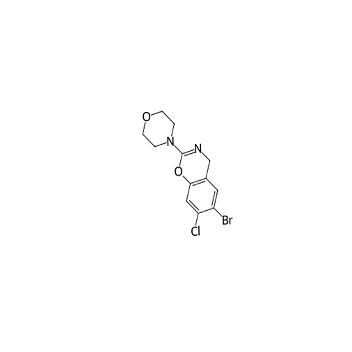 Clc1cc2c(cc1Br)CN=C(N1CCOCC1)O2